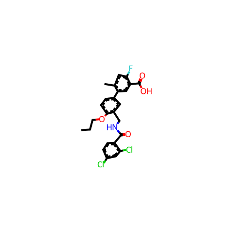 CCCOc1ccc(-c2cc(C(=O)O)c(F)cc2C)cc1CNC(=O)c1ccc(Cl)cc1Cl